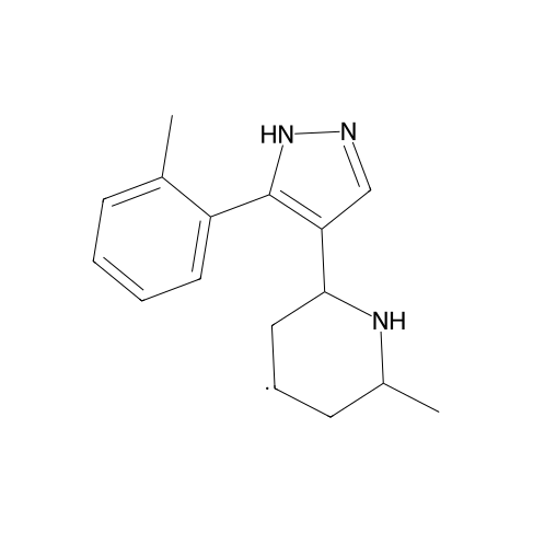 Cc1ccccc1-c1[nH]ncc1C1C[CH]CC(C)N1